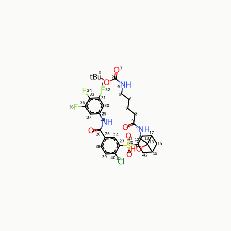 CC(C)(C)OC(=O)NCCCCC(=O)NCC1(O)C2CC1CC(S(=O)(=O)c1cc(C(=O)Nc3cc(F)c(F)c(F)c3)ccc1Cl)C2